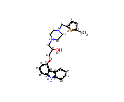 O=[N+]([O-])c1ccc(CN2CCN(CC(O)COc3cccc4[nH]c5ccccc5c34)CC2)s1